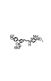 CC(C)(C)OC(=O)c1cn(CCCNc2ccc([N+](=O)[O-])c(N)n2)cc1-c1ccc(OC(F)(F)F)cc1